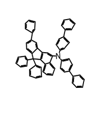 c1ccc(-c2ccc(N(c3ccc(-c4ccccc4)cc3)c3cc4c(c5ccccc35)C(c3ccccc3)(c3ccccc3)c3ccc(-c5ccccc5)cc3-4)cc2)cc1